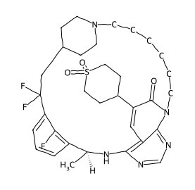 C[C@@H]1Nc2ncnc3c2cc(C2CCS(=O)(=O)CC2)c(=O)n3CCCCCCN2CCC(CC2)CC(F)(F)c2cccc1c2F